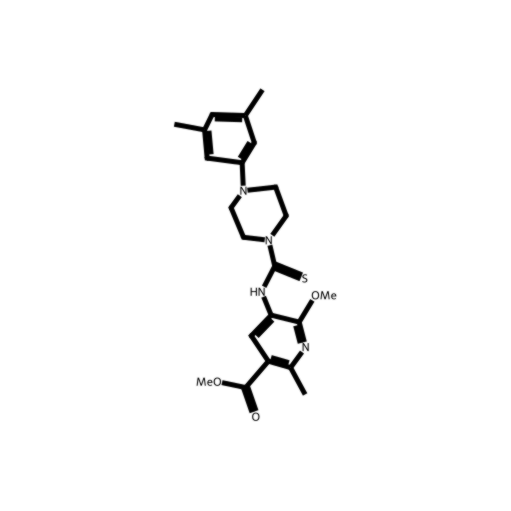 COC(=O)c1cc(NC(=S)N2CCN(c3cc(C)cc(C)c3)CC2)c(OC)nc1C